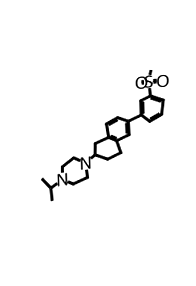 CC(C)N1CCN(C2CCc3cc(-c4cccc(S(C)(=O)=O)c4)ccc3C2)CC1